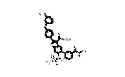 CCN(c1cc2oc(-c3ccc(Oc4cccc(OC)c4)cc3)c(C(=O)NC)c2cc1-c1cccc(C(=O)NC(C)(C)C)c1)S(C)(=O)=O